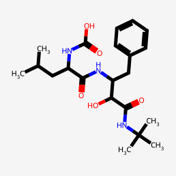 CC(C)CC(NC(=O)O)C(=O)NC(Cc1ccccc1)C(O)C(=O)NC(C)(C)C